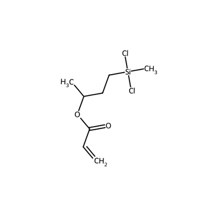 C=CC(=O)OC(C)CC[Si](C)(Cl)Cl